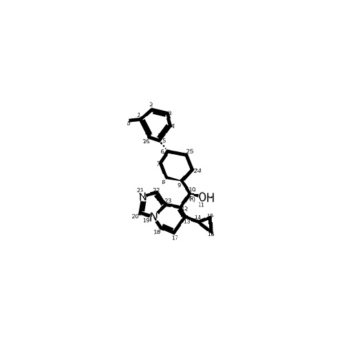 Cc1cccc([C@H]2CC[C@H]([C@@H](O)c3c(C4CC4)ccn4cncc34)CC2)c1